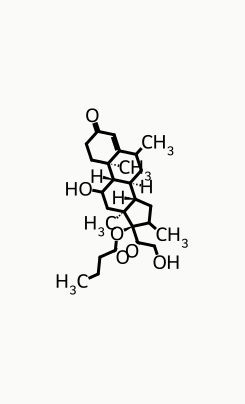 CCCC(=O)O[C@]1(C(=O)CO)C(C)C[C@H]2[C@@H]3CC(C)C4=CC(=O)CC[C@]4(C)[C@H]3C(O)C[C@@]21C